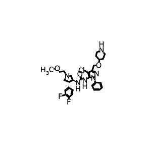 COCCN1C[C@@H](NC(=O)Nc2c(Cl)c(COC3CCNCC3)nn2-c2ccccc2)[C@H](c2ccc(F)c(F)c2)C1